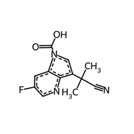 CC(C)(C#N)c1cn(C(=O)O)c2cc(F)cnc12